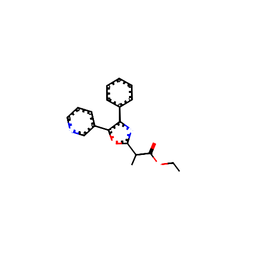 CCOC(=O)C(C)c1nc(-c2ccccc2)c(-c2cccnc2)o1